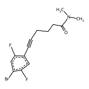 CN(C)C(=O)CCCC#Cc1cc(F)c(Br)cc1F